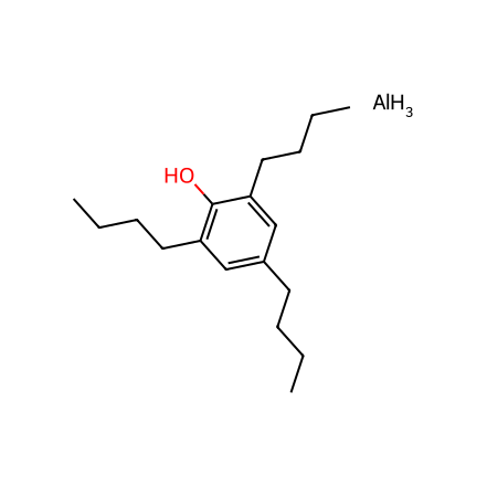 CCCCc1cc(CCCC)c(O)c(CCCC)c1.[AlH3]